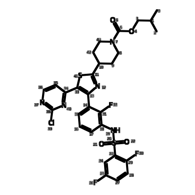 CC(C)COC(=O)N1CCC(c2nc(-c3cccc(NS(=O)(=O)c4cc(F)ccc4F)c3F)c(-c3ccnc(Cl)n3)s2)CC1